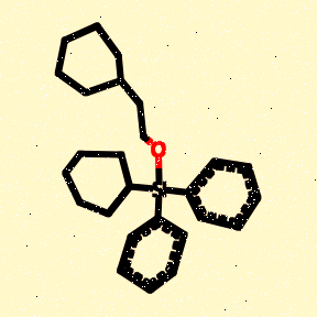 c1ccc([Si](OCCC2CCCCC2)(c2ccccc2)C2CCCCC2)cc1